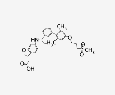 Cc1cc(OCCCS(C)(=O)=O)cc(C)c1-c1cccc2c1CCC2Nc1ccc2c(c1)OC[C@H]2CC(=O)O